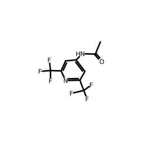 CC(=O)Nc1cc(C(F)(F)F)nc(C(F)(F)F)c1